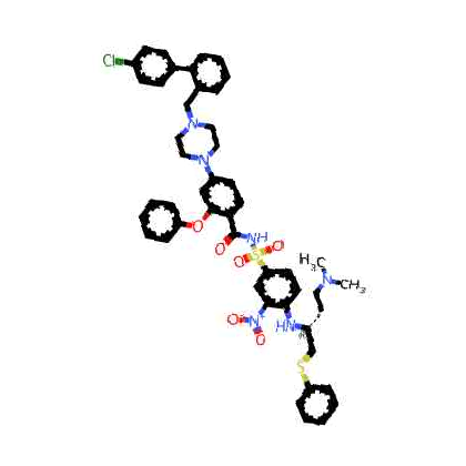 CN(C)CC[C@H](CSc1ccccc1)Nc1ccc(S(=O)(=O)NC(=O)c2ccc(N3CCN(Cc4ccccc4-c4ccc(Cl)cc4)CC3)cc2Oc2ccccc2)cc1[N+](=O)[O-]